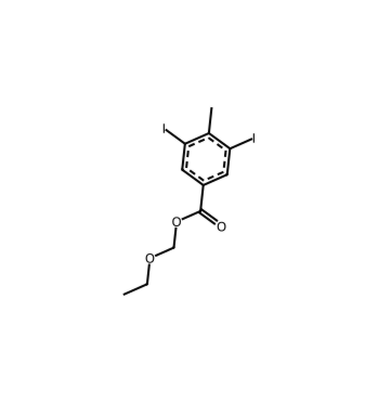 CCOCOC(=O)c1cc(I)c(C)c(I)c1